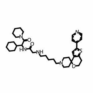 O=C(CNCCCCCN1CCC2(CC1)OCCc1sc(-c3ccncc3)cc12)NC(C(=O)N1CCCCC1)C1CCCCC1